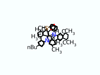 CCCCc1ccc2c(c1)C1(C)C=CC(C)C3=C1C1(C)C(=C4c5ccccc5SC43C)B3c4c(cc(C)cc4N21)-c1cc2c(cc1N3c1ccccc1)C(C)(C)CCC2(C)C